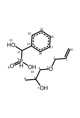 C=CCOCC(C)O.O=[PH](O)C(O)c1ccccc1